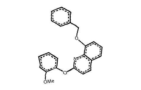 COc1ccccc1Oc1ccc2cccc(OCc3ccccc3)c2n1